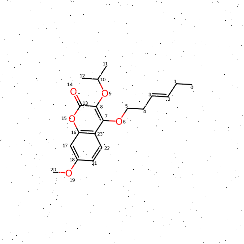 CCC=CCCOc1c(OC(C)C)c(=O)oc2cc(OC)ccc12